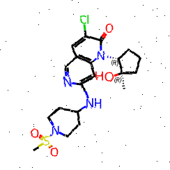 C[C@@]1(O)CCC[C@H]1n1c(=O)c(Cl)cc2cnc(NC3CCN(S(C)(=O)=O)CC3)cc21